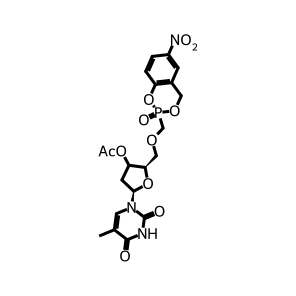 CC(=O)OC1C[C@H](n2cc(C)c(=O)[nH]c2=O)O[C@@H]1COCP1(=O)OCc2cc([N+](=O)[O-])ccc2O1